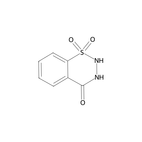 O=C1NNS(=O)(=O)c2ccccc21